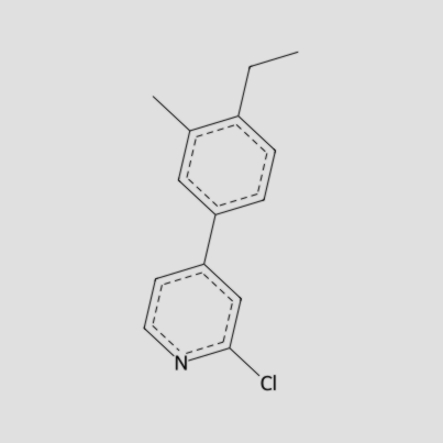 CCc1ccc(-c2ccnc(Cl)c2)cc1C